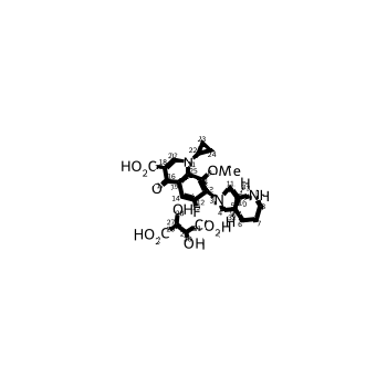 COc1c(N2C[C@@H]3CCCN[C@@H]3C2)c(F)cc2c(=O)c(C(=O)O)cn(C3CC3)c12.O=C(O)C(O)C(O)C(=O)O